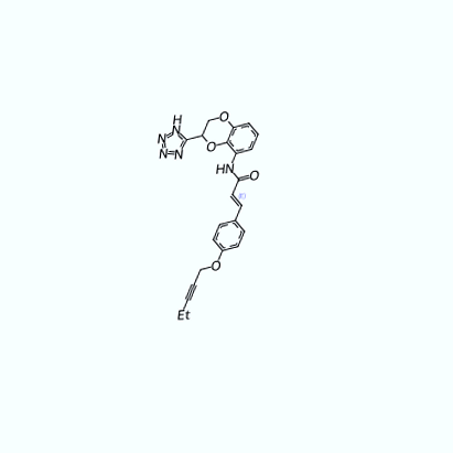 CCC#CCOc1ccc(/C=C/C(=O)Nc2cccc3c2OC(c2nnn[nH]2)CO3)cc1